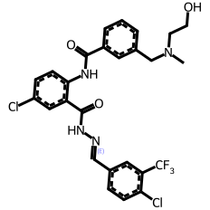 CN(CCO)Cc1cccc(C(=O)Nc2ccc(Cl)cc2C(=O)N/N=C/c2ccc(Cl)c(C(F)(F)F)c2)c1